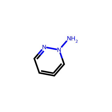 NN1C=C=CC=N1